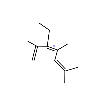 C=C(C)/C(CC)=C(/C)C=C(C)C